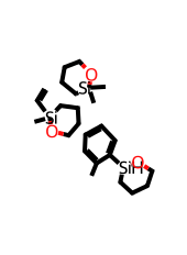 C=C[Si]1(C)CCCCO1.C[Si]1(C)CCCCO1.Cc1ccccc1[SiH]1CCCCO1